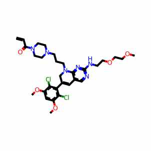 C=CC(=O)N1CCN(CCCN2CC(c3c(Cl)c(OC)cc(OC)c3Cl)=Cc3cnc(NCCOCCOC)nc32)CC1